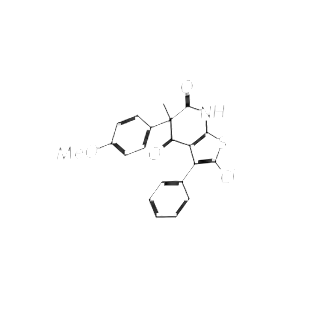 COc1ccc(C2(C)C(=O)Nc3sc(Cl)c(-c4ccccc4)c3C2=O)cc1